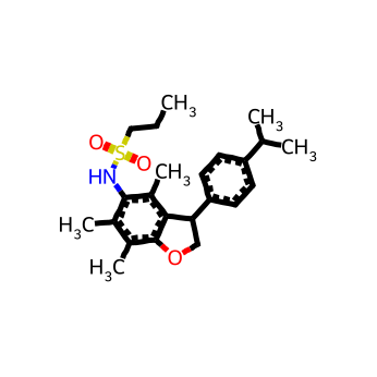 CCCS(=O)(=O)Nc1c(C)c(C)c2c(c1C)C(c1ccc(C(C)C)cc1)CO2